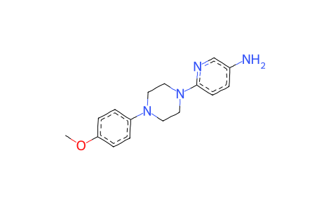 COc1ccc(N2CCN(c3ccc(N)cn3)CC2)cc1